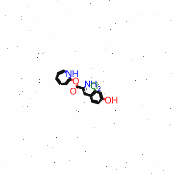 N[C@@H](Cc1ccc(O)cc1Cl)C(=O)OC1=CC=CC=CN1